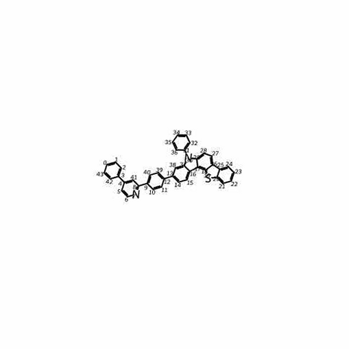 c1ccc(-c2ccnc(-c3ccc(-c4ccc5c6c7sc8ccccc8c7ccc6n(-c6ccccc6)c5c4)cc3)c2)cc1